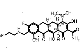 CC(C)CCNCc1c(F)cc2c(c1O)C(=O)C1=C(O)[C@]3(O)C(=O)C(C(N)=O)=C(O)[C@@H](N(C)C)[C@@H]3C[C@@H]1C2